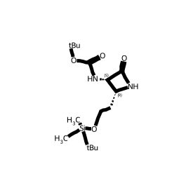 CC(C)(C)OC(=O)N[C@@H]1C(=O)N[C@@H]1CCO[Si](C)(C)C(C)(C)C